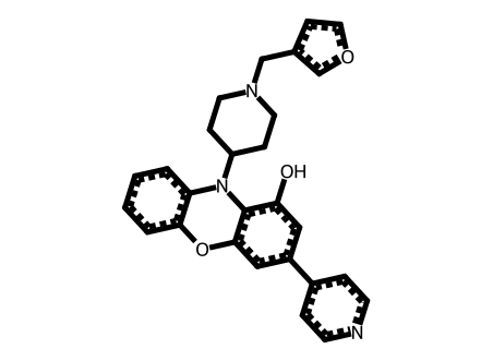 Oc1cc(-c2ccncc2)cc2c1N(C1CCN(Cc3ccoc3)CC1)c1ccccc1O2